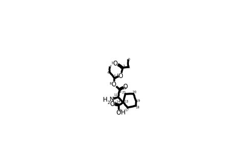 CCC(=O)OC(CC)OC(=O)C(N)C1(C(=O)O)CCCCC1